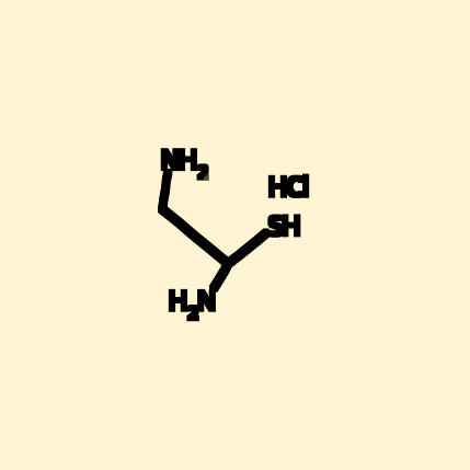 Cl.NCC(N)S